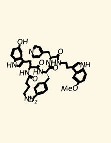 COc1ccc2[nH]cc(CCNC(=O)[C@H](Cc3ccncc3)NC(=O)[C@H](Cc3ccc(Cl)cc3)NC(=O)C(Cc3c[nH]c4ccc(O)cc34)NC(=O)CCCN)c2c1